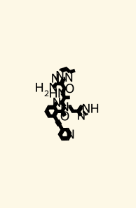 Cc1ccn2nc(N)c(C(=O)NC(C)c3nc4cccc(C#Cc5cccnc5)c4c(=O)n3CCc3c[nH]cn3)c2n1